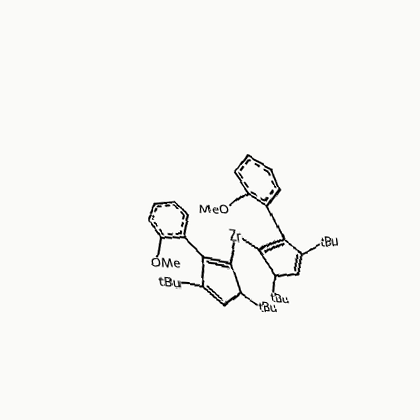 COc1ccccc1C1=[C]([Zr][C]2=C(c3ccccc3OC)C(C(C)(C)C)=CC2C(C)(C)C)C(C(C)(C)C)C=C1C(C)(C)C